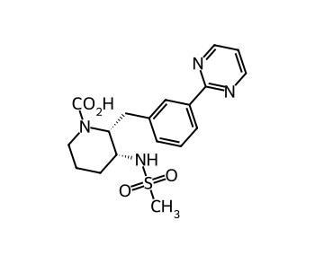 CS(=O)(=O)N[C@@H]1CCCN(C(=O)O)[C@@H]1Cc1cccc(-c2ncccn2)c1